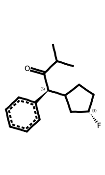 CC(C)C(=O)[C@H](c1ccccc1)C1CC[C@H](F)C1